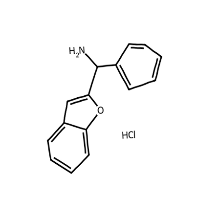 Cl.NC(c1ccccc1)c1cc2ccccc2o1